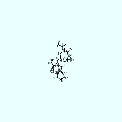 CCC(C)N(C[C@H](O)[C@@H]1CCC(=O)N1Cc1ccccc1)C(C)CC